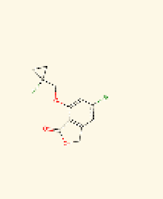 O=C1OCc2cc(Br)cc(OCC3(F)CC3)c21